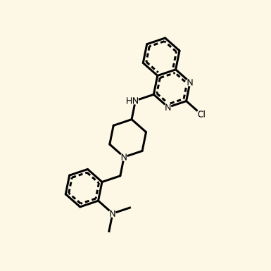 CN(C)c1ccccc1CN1CCC(Nc2nc(Cl)nc3ccccc23)CC1